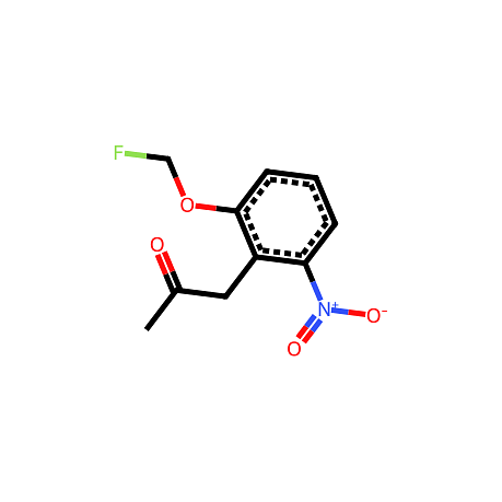 CC(=O)Cc1c(OCF)cccc1[N+](=O)[O-]